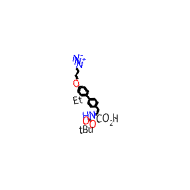 CCc1cc(OCCCCN=[N+]=[N-])ccc1-c1ccc(CC(NC(=O)OC(C)(C)C)C(=O)O)cc1